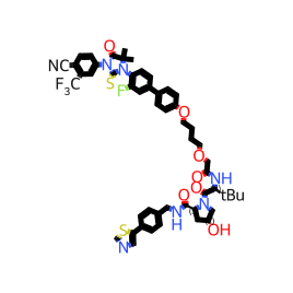 CC(C)(C)[C@H](NC(=O)COCCCCOc1ccc(-c2ccc(N3C(=S)N(c4ccc(C#N)c(C(F)(F)F)c4)C(=O)C3(C)C)c(F)c2)cc1)C(=O)N1C[C@H](O)C[C@H]1C(=O)NCc1ccc(-c2cncs2)cc1